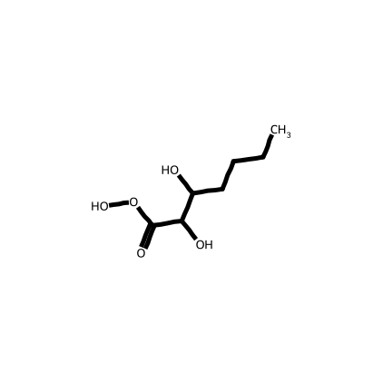 CCCCC(O)C(O)C(=O)OO